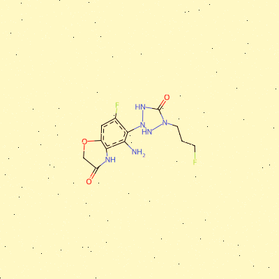 Nc1c2c(cc(F)c1N1NC(=O)N(CCCF)N1)OCC(=O)N2